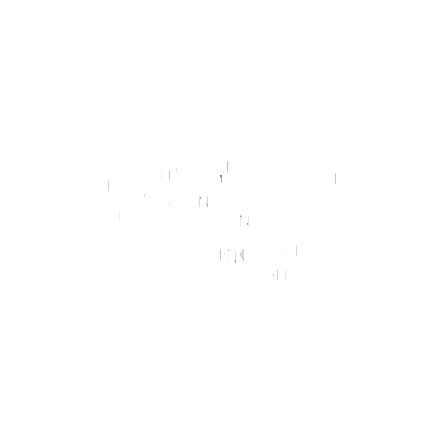 C[C@@H]1CN(C(=O)OC(C)(C)C)[C@@H](C)CN1C(c1ccc(F)cc1)C(C)(C)O